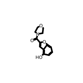 O=C(c1cc2c(O)cccc2o1)N1CCOCC1